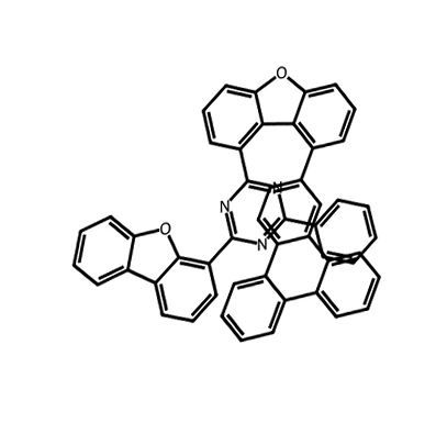 c1ccc(-c2nc(-c3cccc4c3oc3ccccc34)nc(-c3cccc4oc5cccc(-c6ccc7c8ccccc8c8ccccc8c7c6)c5c34)n2)cc1